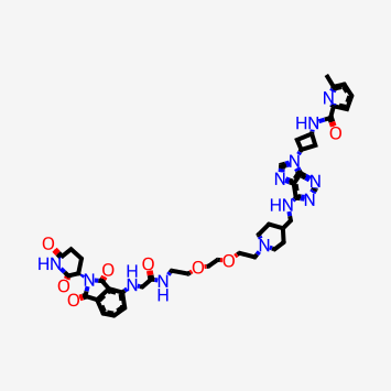 Cc1cccc(C(=O)NC2CC(n3cnc4c(NCC5CCN(CCOCCOCCNC(=O)CNc6cccc7c6C(=O)N([C@@H]6CCC(=O)NC6=O)C7=O)CC5)ncnc43)C2)n1